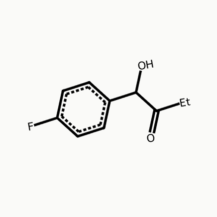 CCC(=O)C(O)c1ccc(F)cc1